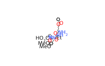 CC[C@](C)(NC(=O)[C@@H](N)CCCCOC(=O)c1ccccc1)C(=O)N[C@@H](Cc1ccc(OC)c(OC)c1)C(=O)N1CCC[C@@H]1C(=O)O